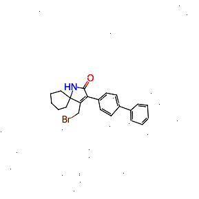 O=C1NC2(CCCCC2)C(CBr)=C1c1ccc(-c2ccccc2)cc1